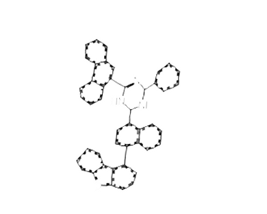 c1ccc(C2N=C(c3cc4ccccc4c4ccccc34)NC(c3ccc(-c4cccc5oc6ccccc6c45)c4ccccc34)N2)cc1